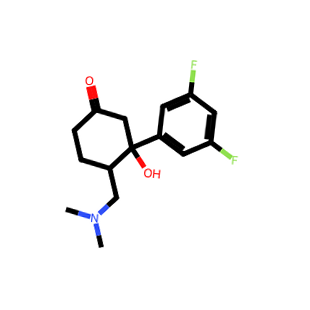 CN(C)CC1CCC(=O)CC1(O)c1cc(F)cc(F)c1